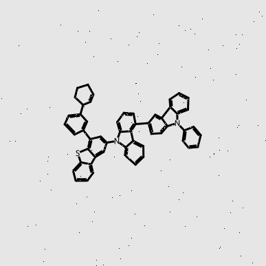 C1=CC(c2cccc(-c3cc(-n4c5ccccc5c5c(-c6ccc7c(c6)c6ccccc6n7-c6ccccc6)cccc54)cc4c3sc3ccccc34)c2)CCC1